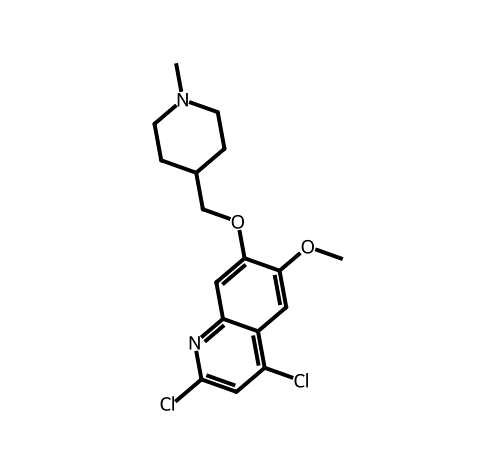 COc1cc2c(Cl)cc(Cl)nc2cc1OCC1CCN(C)CC1